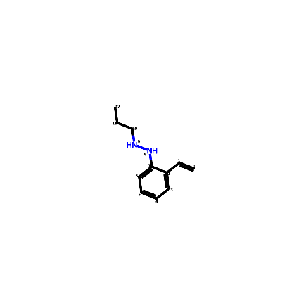 C=Cc1ccccc1NNCCC